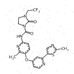 Cc1ncc(-c2cc(Oc3ccc(NC(=O)N4CCN(CC(F)(F)F)C4=O)nc3C)ccn2)s1